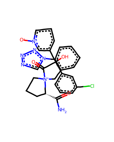 NC(=O)[C@@H]1CCC[N+]1(Cc1ccccc1-n1cnnn1)C(=O)C(O)(c1cccc(Cl)c1)c1ccc[n+]([O-])c1